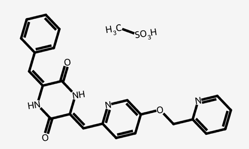 CS(=O)(=O)O.O=c1[nH]/c(=C/c2ccccc2)c(=O)[nH]/c1=C\c1ccc(OCc2ccccn2)cn1